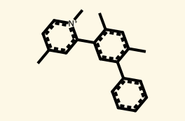 Cc1cc[n+](C)c(-c2cc(-c3ccccc3)c(C)cc2C)c1